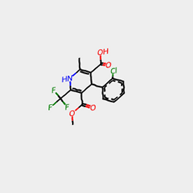 COC(=O)C1=C(C(F)(F)F)NC(C)=C(C(=O)O)C1c1ccccc1Cl